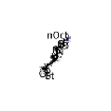 CCCCCCCC/C=C\CC(=O)Oc1cnc(-c2ccc(CCCCC(C)OC(=O)CC)cc2)nc1